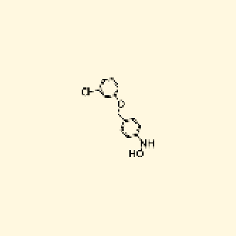 ONc1ccc(COc2cccc(Cl)c2)cc1